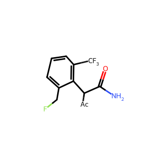 CC(=O)C(C(N)=O)c1c(CF)cccc1C(F)(F)F